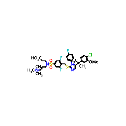 COc1cc(C(C)(C)c2cnc(SCc3c(F)cc(S(=O)(=O)N(CCC[N+](C)(C)C)CCC(=O)O)cc3F)n2-c2ccc(F)cc2)ccc1Cl